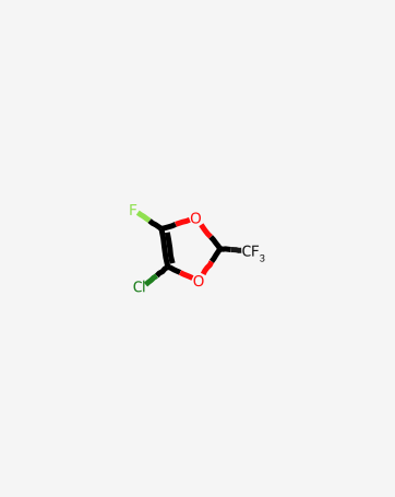 FC1=C(Cl)OC(C(F)(F)F)O1